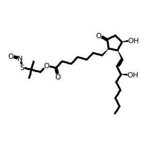 CCCCC[C@H](O)C=C[C@@H]1[C@H](O)CC(=O)[C@@H]1CCCCCCC(=O)OCC(C)(C)SN=O